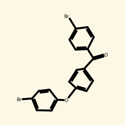 O=C(c1ccc(Br)cc1)c1ccc(Oc2ccc(Br)cc2)cc1